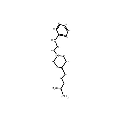 NC(=O)CCCC1CCN(CCOc2ccccc2)CC1